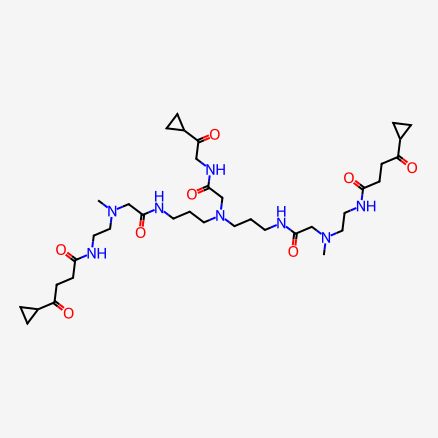 CN(CCNC(=O)CCC(=O)C1CC1)CC(=O)NCCCN(CCCNC(=O)CN(C)CCNC(=O)CCC(=O)C1CC1)CC(=O)NCC(=O)C1CC1